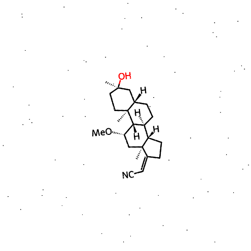 CO[C@H]1C[C@]2(C)/C(=C\C#N)CC[C@H]2[C@@H]2CC[C@H]3C[C@](C)(O)CC[C@]3(C)[C@H]21